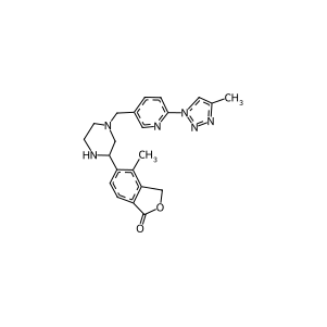 Cc1cn(-c2ccc(CN3CCNC(c4ccc5c(c4C)COC5=O)C3)cn2)nn1